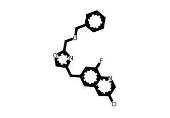 Fc1cc(Cc2coc(COCc3ccccc3)n2)cc2cc(Cl)cnc12